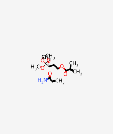 C=C(C)C(=O)OCCC[Si](OC)(OC)OC.C=CC(N)=O